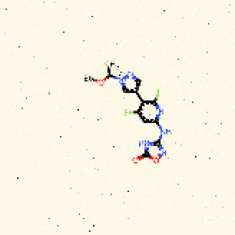 CCOC(C)n1cc(-c2c(F)cc(Nc3noc(=O)[nH]3)nc2F)cn1